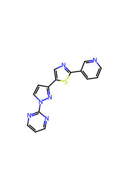 c1cnc(-n2ccc(-c3cnc(-c4cccnc4)s3)n2)nc1